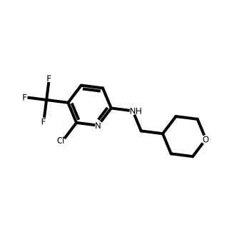 FC(F)(F)c1ccc(NCC2CCOCC2)nc1Cl